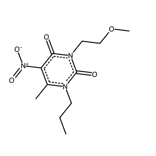 CCCn1c(C)c([N+](=O)[O-])c(=O)n(CCOC)c1=O